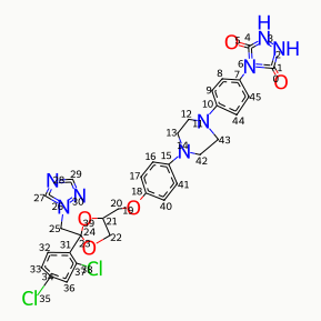 O=c1[nH][nH]c(=O)n1-c1ccc(N2CCN(c3ccc(OCC4COC(Cn5cncn5)(c5ccc(Cl)cc5Cl)O4)cc3)CC2)cc1